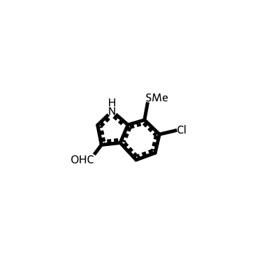 CSc1c(Cl)ccc2c(C=O)c[nH]c12